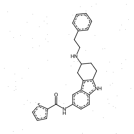 O=C(Nc1ccc2[nH]c3c(c2c1)CC(NCCc1ccccc1)CC3)c1cccs1